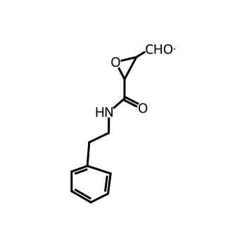 O=[C]C1OC1C(=O)NCCc1ccccc1